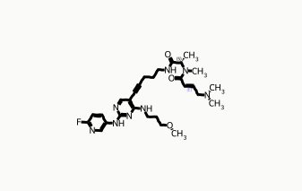 COCCCNc1nc(Nc2ccc(F)nc2)ncc1C#CCCCNC(=O)[C@H](C)N(C)C(=O)/C=C/CN(C)C